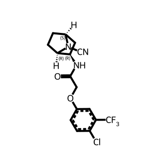 N#CN1[C@H]2CC[C@@H]1[C@H](NC(=O)COc1ccc(Cl)c(C(F)(F)F)c1)C2